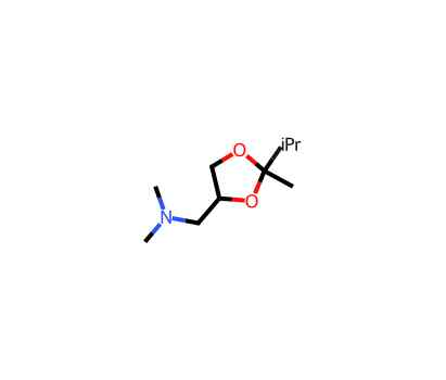 CC(C)C1(C)OCC(CN(C)C)O1